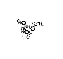 C=CC(=O)N1CCC(Oc2cc3c(Nc4cccc(N=O)c4)ncnc3cc2OC)CC1